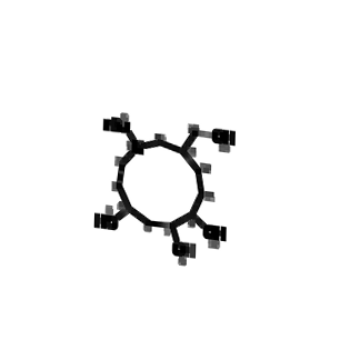 CCCCN1CCC(O)CC(O)C(O)CCC(CO)C1